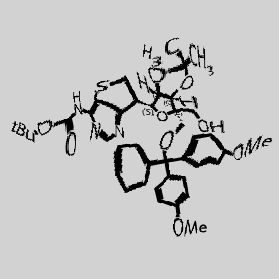 COc1ccc(C(OC[C@]2(CO)O[C@@H](c3csc4c(NC(=O)OC(C)(C)C)ncnc34)[C@@H]3OC(C)(C)O[C@@H]32)(c2ccccc2)c2ccc(OC)cc2)cc1